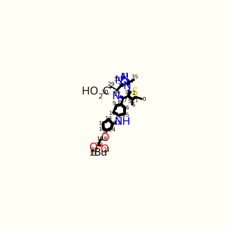 Cc1sc2c(c1C)C(c1ccc(Nc3cccc(OCC(=O)OC(C)(C)C)c3)cc1)=N[C@@H](CC(=O)O)c1nnc(C)n1-2